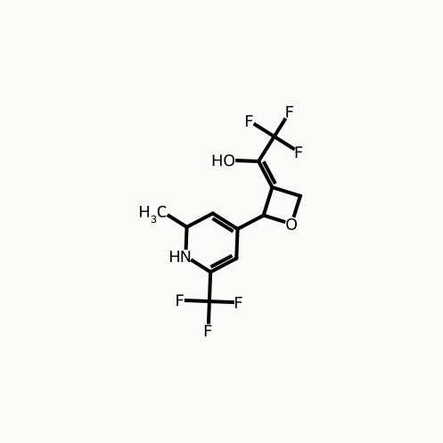 CC1C=C(C2OC/C2=C(/O)C(F)(F)F)C=C(C(F)(F)F)N1